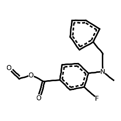 CN(Cc1ccccc1)c1ccc(C(=O)OC=O)cc1F